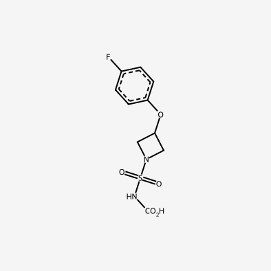 O=C(O)NS(=O)(=O)N1CC(Oc2ccc(F)cc2)C1